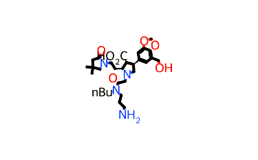 CCCCN(CCCN)C(=O)CN1C[C@H](c2cc(CO)c3c(c2)OCO3)[C@@H](C(=O)O)[C@@H]1CCN1CC(C)(C)CC1=O